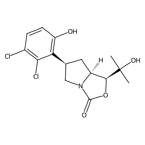 CC(C)(O)[C@H]1OC(=O)N2C[C@@H](c3c(O)ccc(Cl)c3Cl)C[C@@H]12